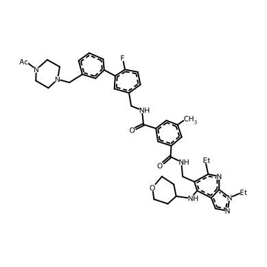 CCc1nc2c(cnn2CC)c(NC2CCOCC2)c1CNC(=O)c1cc(C)cc(C(=O)NCc2ccc(F)c(-c3cccc(CN4CCN(C(C)=O)CC4)c3)c2)c1